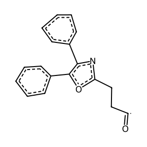 O=[C]CCc1nc(-c2ccccc2)c(-c2ccccc2)o1